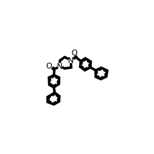 O=C(c1ccc(-c2ccccc2)cc1)N1CCN(C(=O)c2ccc(-c3ccccc3)cc2)CC1